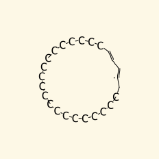 [C]1=C/C=C/CCCCCCCCCCCCCCCCCCCCC/1